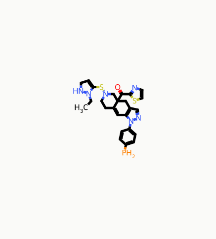 CCN1NCC=C1SN1CCC2=Cc3c(cnn3-c3ccc(P)cc3)CC2(C(=O)c2nccs2)C1